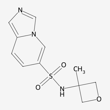 CC1(NS(=O)(=O)c2ccc3cncn3c2)COC1